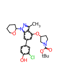 Cc1nn(C2CCCCO2)c2cc(-c3ccc(O)c(Cl)c3)cc(O[C@H]3CCN(C(=O)OC(C)(C)C)C3)c12